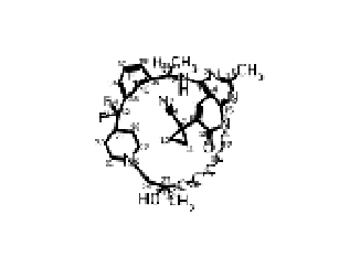 Cc1nc2c3cc(C4(C#N)CC4)c(=O)n(c3n1)CCCCCC(C)(O)CN1CCC(CC1)C(F)(F)c1cccc(c1F)[C@@H](C)N2